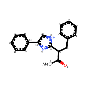 COC(=O)C(Cc1ccccc1)c1nc(-c2ccccc2)c[nH]1